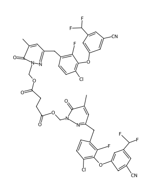 Cc1cc(Cc2ccc(Cl)c(Oc3cc(C#N)cc(C(F)F)c3)c2F)nn(COC(=O)CCC(=O)OCn2nc(Cc3ccc(Cl)c(Oc4cc(C#N)cc(C(F)F)c4)c3F)cc(C)c2=O)c1=O